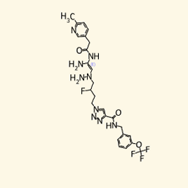 Cc1ccc(CC(=O)N/C(N)=C/N(N)CC(F)CCn2cc(C(=O)NCc3cccc(OC(F)(F)F)c3)nn2)cn1